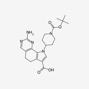 CC(C)(C)OC(=O)N1CCC(n2cc(C(=O)O)c3c2-c2nc(N)ncc2CC3)CC1